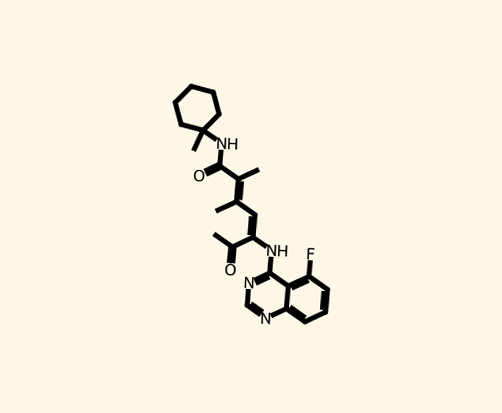 CC(=O)/C(=C\C(C)=C(/C)C(=O)NC1(C)CCCCC1)Nc1ncnc2cccc(F)c12